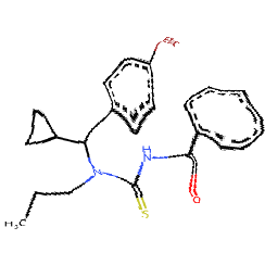 CCCN(C(=S)NC(=O)c1ccccc1)C(c1ccc(Br)cc1)C1CC1